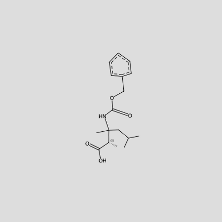 CC(C)CC(C)(NC(=O)OCc1ccccc1)[C@H](C)C(=O)O